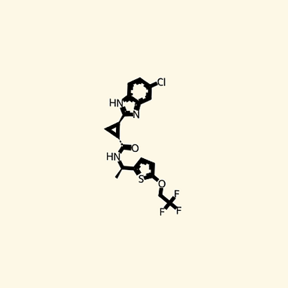 C[C@@H](NC(=O)[C@@H]1C[C@H]1c1nc2cc(Cl)ccc2[nH]1)c1ccc(OCC(F)(F)F)s1